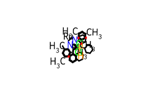 Cc1cc(C)c(N2CCN(c3c(C)cc(C)cc3C)[C]2=[Ru]([Cl])([Cl])(=[CH]c2ccccc2)[PH](C2CCCCC2)(C2CCCCC2)C2CCCCC2)c(C)c1.[Ru]